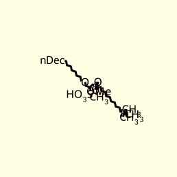 CCCCCCCCCCCCCCCCCCOCC(CS(=O)(=O)CCCCCCCCCC[N+](C)(C)C)OC.CS(=O)(=O)O